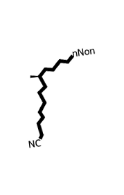 CCCCCCCCCCCCC[C@H](C)CCCCCCCC#N